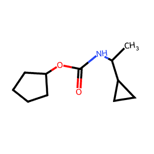 CC(NC(=O)OC1CCCC1)C1CC1